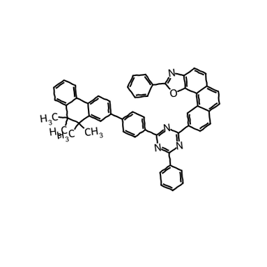 CC1(C)c2ccccc2-c2ccc(-c3ccc(-c4nc(-c5ccccc5)nc(-c5ccc6ccc7ccc8nc(-c9ccccc9)oc8c7c6c5)n4)cc3)cc2C1(C)C